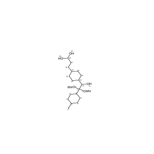 COC(OC)(C1CCC(I)CC1)C(O)C1CCC(CCC(O)O)CC1